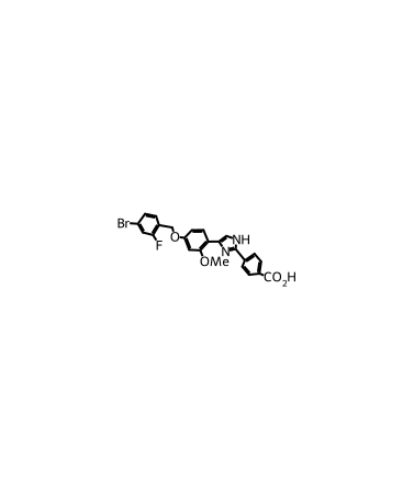 COc1cc(OCc2ccc(Br)cc2F)ccc1-c1c[nH]c(-c2ccc(C(=O)O)cc2)n1